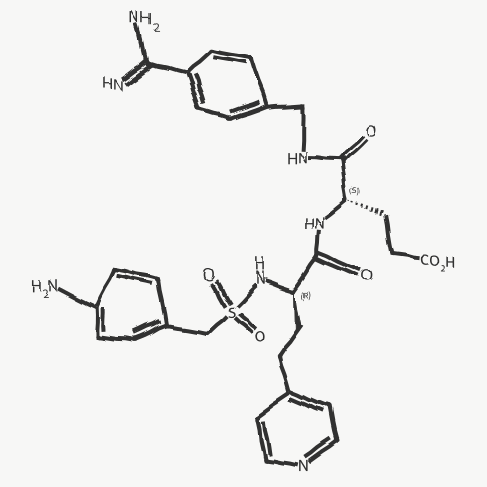 N=C(N)c1ccc(CNC(=O)[C@H](CCC(=O)O)NC(=O)[C@@H](CCc2ccncc2)NS(=O)(=O)Cc2ccc(N)cc2)cc1